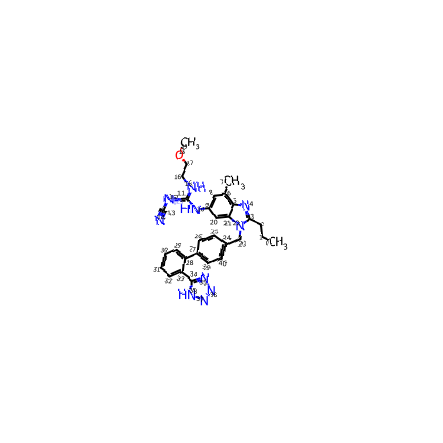 CCCc1nc2c(C)cc(N/C(=N\C#N)NCCOC)cc2n1Cc1ccc(-c2ccccc2-c2nnn[nH]2)cc1